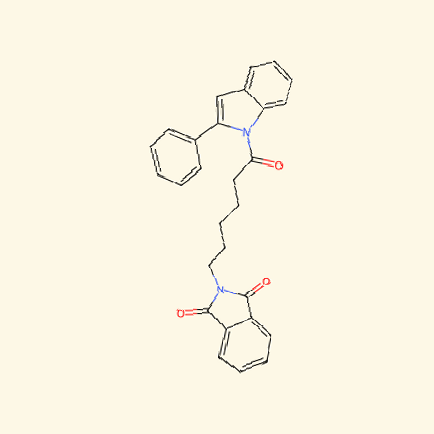 O=C1c2ccccc2C(=O)N1CCCCCC(=O)n1c(-c2ccccc2)cc2ccccc21